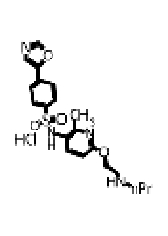 CCCNCCOc1ccc(NS(=O)(=O)c2ccc(-c3cnco3)cc2)c(C)n1.Cl